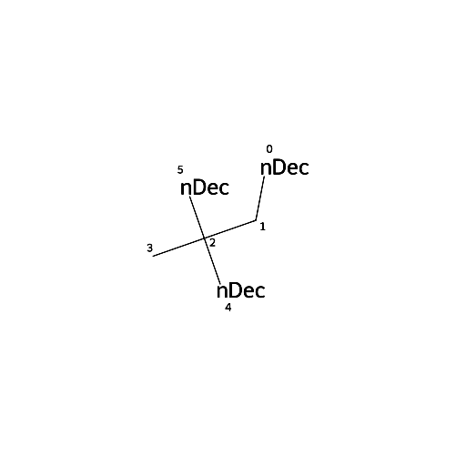 CCCCCCCCCCCC(C)(CCCCCCCCCC)CCCCCCCCCC